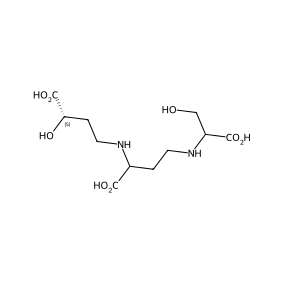 O=C(O)C(CO)NCCC(NCC[C@H](O)C(=O)O)C(=O)O